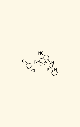 N#Cc1ccc(NCC(F)(F)c2ccccn2)[n+]([O-])c1CC(=O)NCc1cc(Cl)ccc1Cl